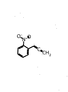 C=C=Cc1ccccc1[N+](=O)[O-]